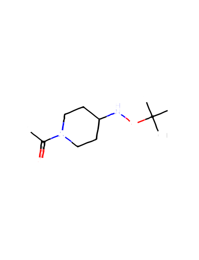 CC(=O)N1CCC(NOC(C)(C)C)CC1